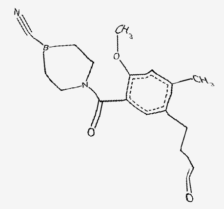 COc1cc(C)c(CCC=O)cc1C(=O)N1CCB(C#N)CC1